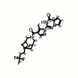 Cc1c(C(=O)N2CC3CC4(CCC(F)(F)F)CC(C2)N34)cnn1-c1nn2cccc2c(=O)[nH]1